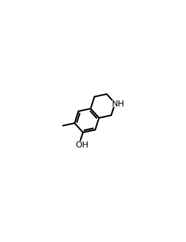 Cc1cc2c(cc1O)CNCC2